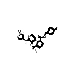 CC(Oc1cccnc1Nc1cnn(C)c1)c1cccc(C(=O)NCc2ccc(F)cc2)c1